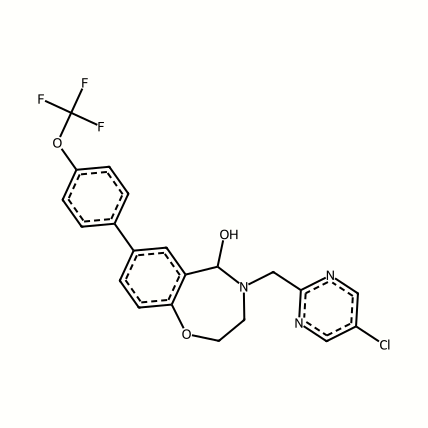 OC1c2cc(-c3ccc(OC(F)(F)F)cc3)ccc2OCCN1Cc1ncc(Cl)cn1